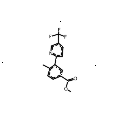 COC(=O)c1ccc(C)c(-c2ccc(C(F)(F)F)cn2)c1